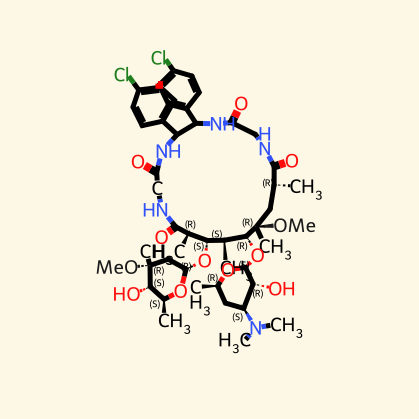 CO[C@]1(C)C[C@@H](C)C(=O)NCC(=O)NC(c2ccc(Cl)cc2)C(c2ccc(Cl)cc2)NC(=O)CNC(=O)[C@H](C)[C@@H](O[C@H]2C[C@@](C)(OC)[C@@H](O)[C@H](C)O2)[C@H](C)[C@H]1O[C@@H]1O[C@H](C)C[C@H](N(C)C)[C@H]1O